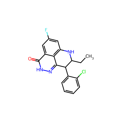 CCC1Nc2cc(F)cc3c(=O)[nH]nc(c23)C1c1ccccc1Cl